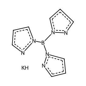 [KH].c1cnn(B(n2cccn2)n2cccn2)c1